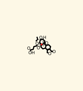 CC(C)[C@]12O[C@H]1[C@@H]1O[C@]13[C@]1(O[C@H]1CC1C4=C(CC[C@@]13C)C(=O)OC4)[C@@H]2OC(=O)CCC(=O)O